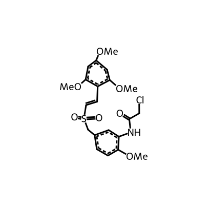 COc1cc(OC)c(C=CS(=O)(=O)Cc2ccc(OC)c(NC(=O)CCl)c2)c(OC)c1